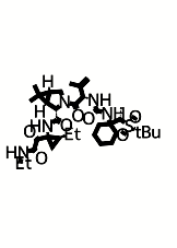 C=C(C)[C@H](NC(=O)NC1([C@H](C)S(=O)(=O)C(C)(C)C)CCCCC1)C(=O)N1C[C@H]2[C@@H]([C@H]1C(=O)N[C@]1(C(=O)C(=O)NCC)C[C@@H]1CC)C2(C)C